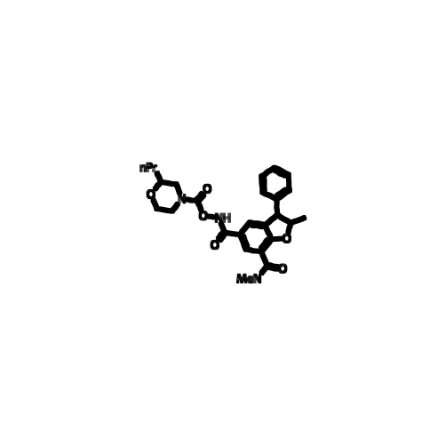 CCCC1CN(C(=O)ONC(=O)c2cc(C(=O)NC)c3c(c2)C(c2ccccc2)C(C)O3)CCO1